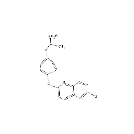 C[C@@H](Oc1ccc(Oc2ccc3cc(Cl)ccc3n2)cc1)C(=O)O